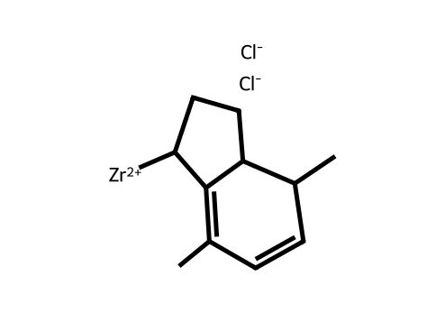 CC1=C2[CH]([Zr+2])CCC2C(C)C=C1.[Cl-].[Cl-]